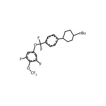 CCCCC1CCC(c2ccc(C(F)(F)Oc3cc(F)c(OC(F)(F)F)c(F)c3)cc2)CC1